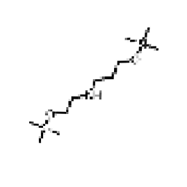 C[Si](C)(C)OCCCNCCO[Si](C)(C)C